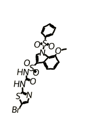 COc1cccc2c(S(=O)(=O)NC(=O)Nc3ncc(Br)s3)cn(S(=O)(=O)c3ccccc3)c12